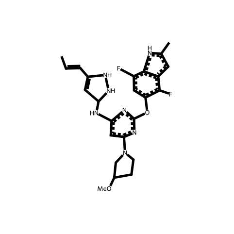 C/C=C/C1=CC(Nc2cc(N3CCC(OC)C3)nc(Oc3cc(F)c4[nH]c(C)cc4c3F)n2)NN1